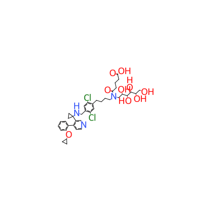 O=C(O)CCCC(=O)N(CCCCc1cc(Cl)c(CNC2(c3cnccc3-c3ccccc3OC3CC3)CC2)cc1Cl)CC(O)C(O)C(O)C(O)CO